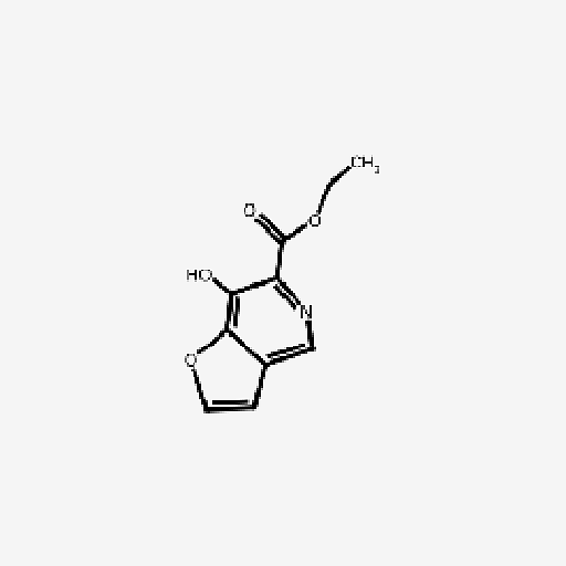 CCOC(=O)c1ncc2ccoc2c1O